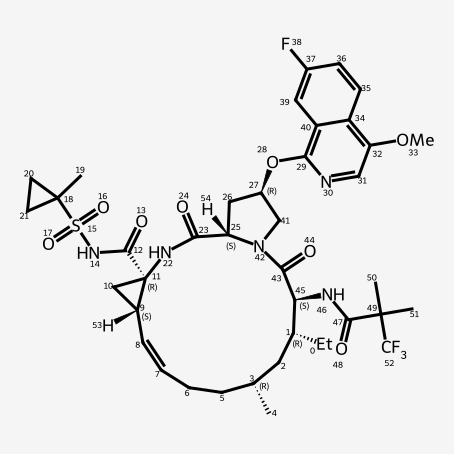 CC[C@@H]1C[C@H](C)CCC=C[C@@H]2C[C@@]2(C(=O)NS(=O)(=O)C2(C)CC2)NC(=O)[C@@H]2C[C@@H](Oc3ncc(OC)c4ccc(F)cc34)CN2C(=O)[C@H]1NC(=O)C(C)(C)C(F)(F)F